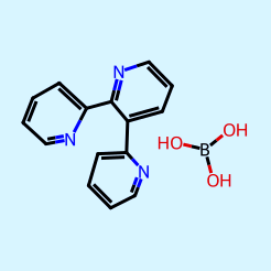 OB(O)O.c1ccc(-c2cccnc2-c2ccccn2)nc1